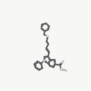 COC(=O)c1ccc2c(c1)c(/C=C/CCOCc1ccccc1)cn2-c1ccccc1